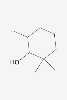 [CH2]C1CCCC(C)(C)C1O